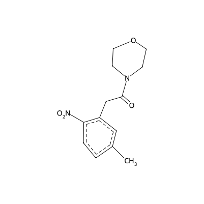 Cc1ccc([N+](=O)[O-])c(CC(=O)N2CCOCC2)c1